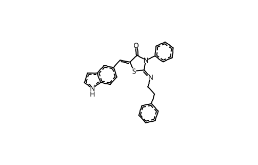 O=C1C(=Cc2ccc3[nH]ccc3c2)SC(=NCCc2ccccc2)N1c1ccccc1